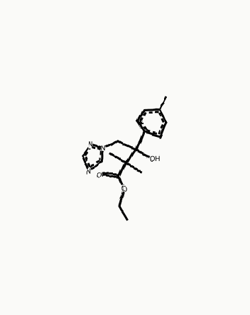 CCOC(=O)C(C)(C)C(O)(Cn1cncn1)c1ccc(C)cc1